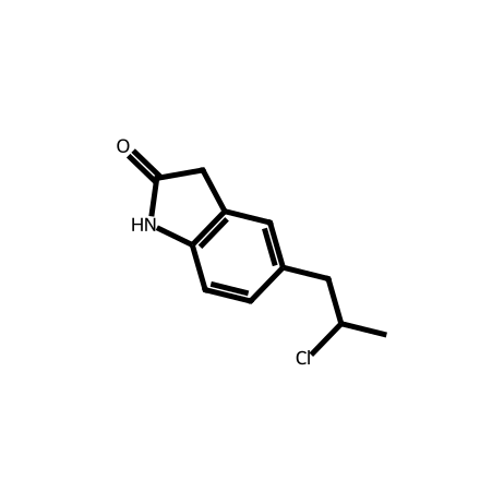 CC(Cl)Cc1ccc2c(c1)CC(=O)N2